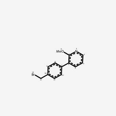 COc1ncccc1-c1ccc(CBr)cc1